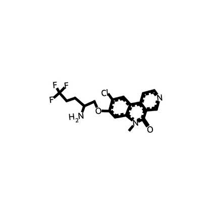 Cn1c(=O)c2cnccc2c2cc(Cl)c(OCC(N)CCC(F)(F)F)cc21